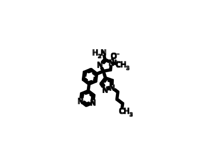 CCCCn1cc(C2(c3cccc(-c4cncnc4)c3)C[N+](C)([O-])C(N)=N2)cn1